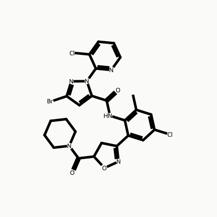 Cc1cc(Cl)cc(C2=NOC(C(=O)N3CCCCC3)C2)c1NC(=O)c1cc(Br)nn1-c1ncccc1Cl